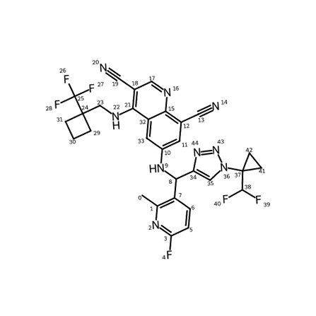 Cc1nc(F)ccc1C(Nc1cc(C#N)c2ncc(C#N)c(NCC3(C(F)(F)F)CCC3)c2c1)c1cn(C2(C(F)F)CC2)nn1